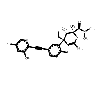 Cc1cc(C#N)cnc1C#Cc1ccc(F)c([C@@]2(CF)N=C(N)S[C@](C)(C(=O)N(C)C)[C@H]2C)c1